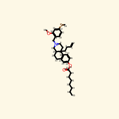 C=CCCC12CCN(Cc3ccc(SC)cc3OC)CC1CCc1cc(OC(=O)CCCCCCC)ccc12